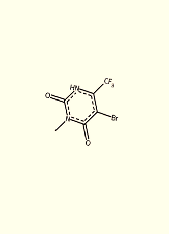 Cn1c(=O)[nH]c(C(F)(F)F)c(Br)c1=O